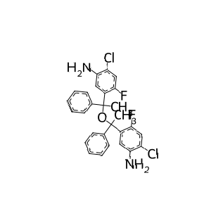 CC(OC(C)(c1ccccc1)c1cc(N)c(Cl)cc1F)(c1ccccc1)c1cc(N)c(Cl)cc1F